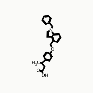 CC(CC(=O)O)c1ccc(OCc2cccc3c2ccn3Cc2ccccc2)cc1